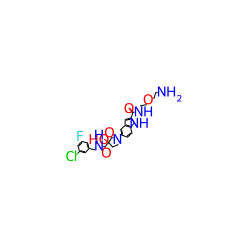 NCCOCCNC(=O)c1cc2cc(N3CCC(O)(C(=O)NCc4cc(F)cc(Cl)c4)C3=O)ccc2[nH]1